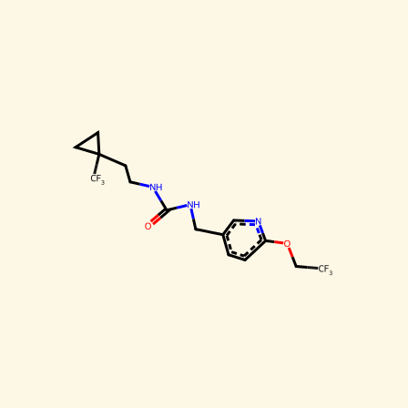 O=C(NCCC1(C(F)(F)F)CC1)NCc1ccc(OCC(F)(F)F)nc1